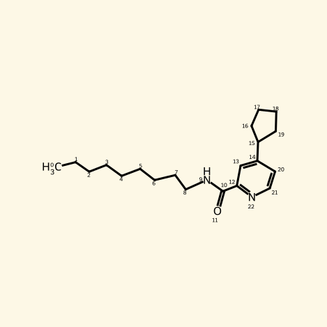 CCCCCCCCCNC(=O)c1cc(C2CCCC2)ccn1